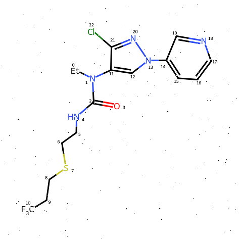 CCN(C(=O)NCCSCCC(F)(F)F)c1cn(-c2cccnc2)nc1Cl